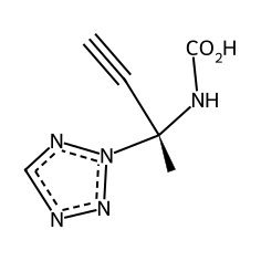 C#C[C@](C)(NC(=O)O)n1ncnn1